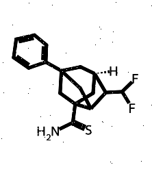 NC(=S)C12C[C@H]3CC(c4ccccc4)(CC1C3C(F)F)C2